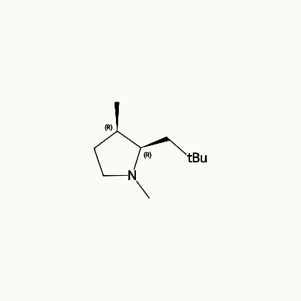 C[C@@H]1CCN(C)[C@@H]1CC(C)(C)C